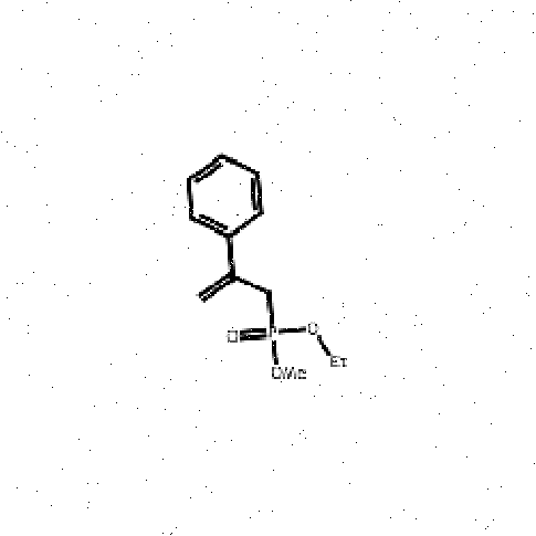 C=C(CP(=O)(OC)OCC)c1ccccc1